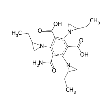 CCC1CN1c1c(C(N)=O)c(N2CC2CC)c(C(=O)O)c(N2CC2CC)c1C(=O)O